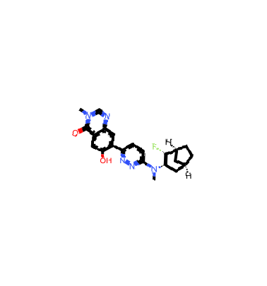 CN(c1ccc(-c2cc3ncn(C)c(=O)c3cc2O)nn1)[C@H]1C[C@@H]2CC[C@@H](C2)[C@H]1F